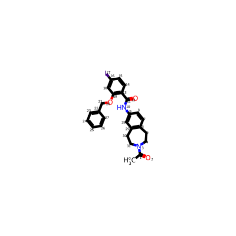 CC(=O)N1CCc2ccc(NC(=O)c3ccc(I)cc3OCc3ccccc3)cc2CC1